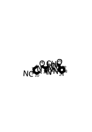 Cc1c(C(=O)N2CCC(C#N)CC2)cnn1-c1nc2c(c(=O)[nH]1)CCC2